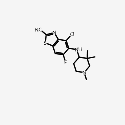 CN1CCC(Nc2c(F)cc3sc(C#N)nc3c2Cl)C(C)(C)C1